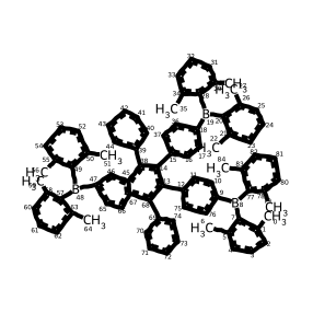 Cc1cccc(C)c1B(c1ccc(-c2c(-c3ccc(B(c4c(C)cccc4C)c4c(C)cccc4C)cc3)c(-c3ccccc3)c3cc(B(c4c(C)cccc4C)c4c(C)cccc4C)ccc3c2-c2ccccc2)cc1)c1c(C)cccc1C